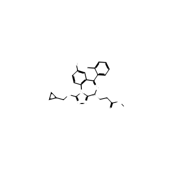 COC(=O)CC[C@@H]1N=C(c2ccccc2Cl)c2cc(Br)ccc2-n2c(SCC3CC3)nnc21